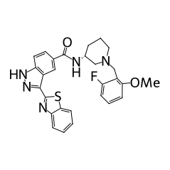 COc1cccc(F)c1CN1CCC[C@@H](NC(=O)c2ccc3[nH]nc(-c4nc5ccccc5s4)c3c2)C1